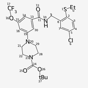 CCSc1ccc(Cl)cc1CNC(=O)c1cc(OC(F)(F)F)cc(N2CCN(C(=O)OC(C)(C)C)CC2)c1